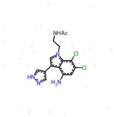 CC(=O)NCCn1cc(-c2cn[nH]c2)c2c(N)cc(Cl)c(Cl)c21